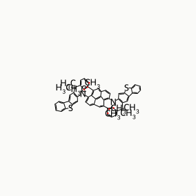 CC(C)c1cc2ccc(N3c4ccccc4C(C)(C)c4cc5c(cc43)sc3ccccc35)c3c(C(C)C)cc4ccc(N5c6ccccc6C(C)(C)c6cc7c(cc65)sc5ccccc57)c1c4c23